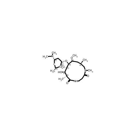 CO[C@@H]1C[C@@H](C)CN(C)C(=O)CCNC(=O)[C@H](C)[C@@H](O)[C@H](C)[C@H]1O[C@H]1C[C@@H](N(C)C)C[C@@H](C)O1